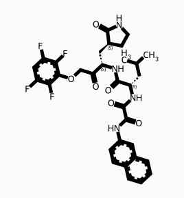 CC(C)C[C@H](NC(=O)C(=O)Nc1ccc2ccccc2c1)C(=O)N[C@@H](C[C@@H]1CCNC1=O)C(=O)COc1c(F)c(F)cc(F)c1F